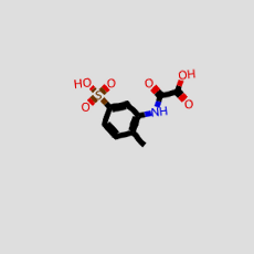 Cc1[c]cc(S(=O)(=O)O)cc1NC(=O)C(=O)O